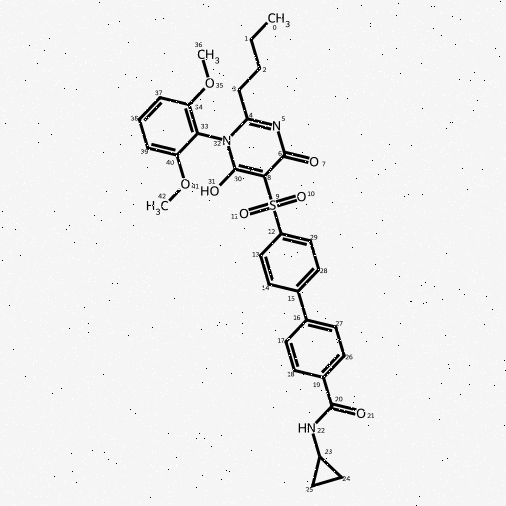 CCCCc1nc(=O)c(S(=O)(=O)c2ccc(-c3ccc(C(=O)NC4CC4)cc3)cc2)c(O)n1-c1c(OC)cccc1OC